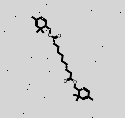 CC1=CC(C)(C)C(COC(=O)CCCCCCCCC(=O)OCC2C=CC(C)=CC2(C)C)C=C1